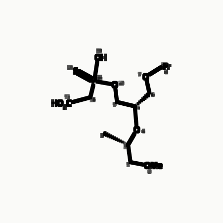 COC[C@H](C)O[C@@H](COC(C)C)COP(O)(=S)CC(=O)O